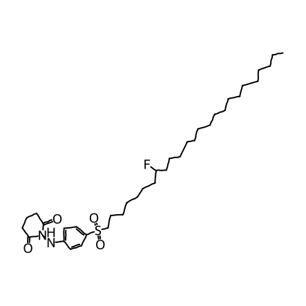 CCCCCCCCCCCCCCCCCC(F)CCCCCCCS(=O)(=O)c1ccc(NN2C(=O)CCCC2=O)cc1